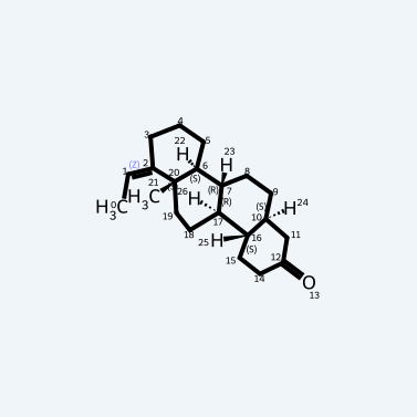 C/C=C1/CCC[C@H]2[C@@H]3CC[C@H]4CC(=O)CC[C@@H]4[C@H]3CC[C@]12C